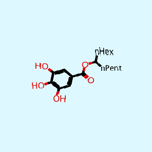 CCCCCCC(CCCCC)OC(=O)c1cc(O)c(O)c(O)c1